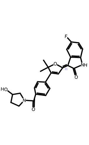 CC1(C)O/C(=C2/C(=O)Nc3ccc(F)cc32)C=C1c1ccc(C(=O)N2CCC(O)C2)cc1